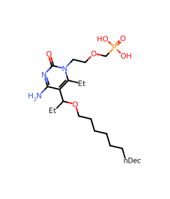 CCCCCCCCCCCCCCCCOC(CC)c1c(N)nc(=O)n(CCOCP(=O)(O)O)c1CC